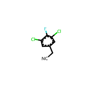 N#CCc1cc(Cl)c(F)c(Cl)c1